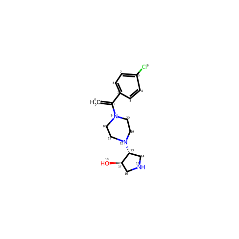 C=C(c1ccc(Cl)cc1)N1CCN([C@@H]2CNC[C@H]2O)CC1